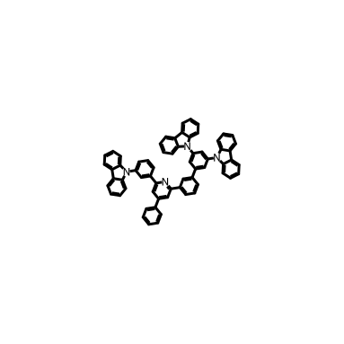 c1ccc(-c2cc(-c3cccc(-c4cc(-n5c6ccccc6c6ccccc65)cc(-n5c6ccccc6c6ccccc65)c4)c3)nc(-c3cccc(-n4c5ccccc5c5ccccc54)c3)c2)cc1